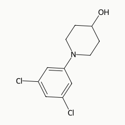 OC1CCN(c2cc(Cl)cc(Cl)c2)CC1